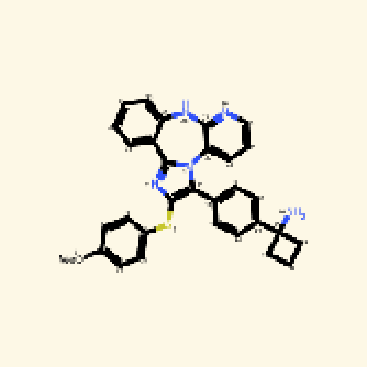 COc1ccc(Sc2nc3n(c2-c2ccc(C4(N)CCC4)cc2)-c2cccnc2Nc2ccccc2-3)cc1